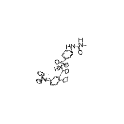 CNC(=O)Nc1ccc(S(=O)(=O)NC(=O)c2cc([N+](=O)[O-])ccc2Cl)cc1